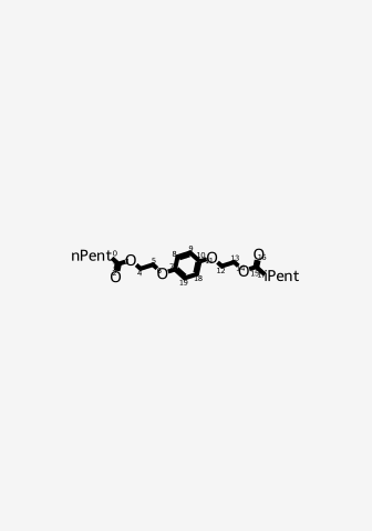 CCCCCC(=O)OCCOc1ccc(OCCOC(=O)C(C)CCC)cc1